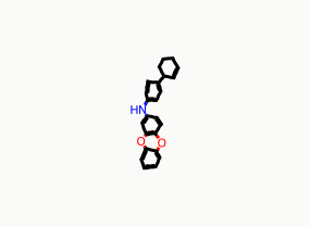 C1=CC(c2ccc(Nc3ccc4c(c3)Oc3ccccc3O4)cc2)CCC1